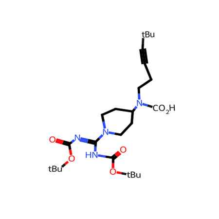 CC(C)(C)C#CCCN(C(=O)O)C1CCN(C(=NC(=O)OC(C)(C)C)NC(=O)OC(C)(C)C)CC1